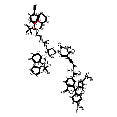 C#Cc1ccc(CN(CCOC(=O)O[C@H]2C[C@H](n3cc(C#CCNC(=O)c4ccc5c(c4)C4(OC5=O)c5ccc(N(C)C)cc5Oc5cc(N(C)C)ccc54)c(=O)[nH]c3=O)O[C@@H]2CO[Si](c2ccccc2)(c2ccccc2)C(C)(C)C)CC2CCCCN2C(=O)OC(C)(C)C)cc1